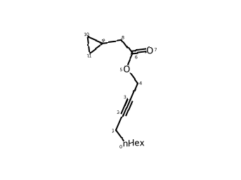 CCCCCCCC#CCOC(=O)CC1CC1